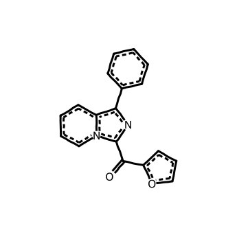 O=C(c1ccco1)c1nc(-c2ccccc2)c2ccccn12